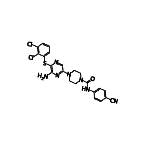 N#Cc1ccc(NC(=O)N2CCN(c3cnc(Sc4cccc(Cl)c4Cl)c(N)n3)CC2)cc1